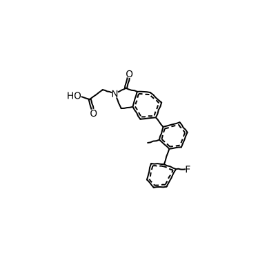 Cc1c(-c2ccc3c(c2)CN(CC(=O)O)C3=O)cccc1-c1ccccc1F